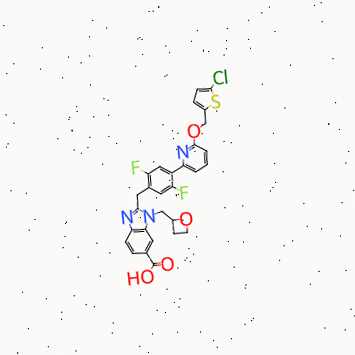 O=C(O)c1ccc2nc(Cc3cc(F)c(-c4cccc(OCc5ccc(Cl)s5)n4)cc3F)n(CC3CCO3)c2c1